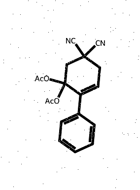 CC(=O)OC1(OC(C)=O)CC(C#N)(C#N)CC=C1c1ccccc1